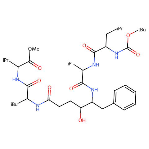 CCC(C)C(NC(=O)CCC(O)C(Cc1ccccc1)NC(=O)C(NC(=O)C(CC(C)C)NC(=O)OC(C)(C)C)C(C)C)C(=O)NC(C(=O)OC)C(C)C